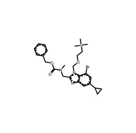 CN(Cc1nc2cc(C3CC3)cc(Br)c2n1COCC[Si](C)(C)C)C(=O)OCc1ccccc1